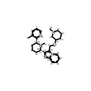 Cc1cccnc1[C@@H]1CCC[C@H](c2nc3ccccn3c2COC2CCCN(C)C2)N1C